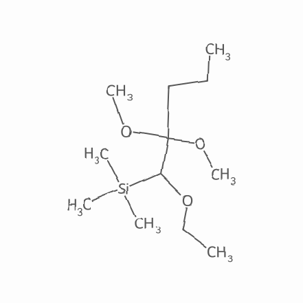 CCCC(OC)(OC)C(OCC)[Si](C)(C)C